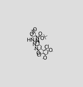 COc1cc(OC)c(Cl)c(-c2cc3cnc(NC(C)C(CS(C)(=O)=O)NC(=O)OC(C)(C)C)nc3n(C)c2=O)c1Cl